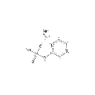 O=P([O-])([O-])Oc1ccccc1.[Na+].[Na+]